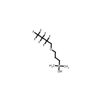 C[Si](C)(O)CCCOCC(F)(F)C(F)(F)C(F)(F)F